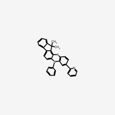 CC1(C)c2ccccc2-c2ccc3c(c21)Sc1ccc(-c2ccccn2)cc1N3c1ccccc1